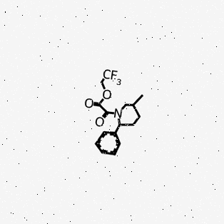 CC1CCC(c2ccccc2)N(C(=O)C(=O)OCC(F)(F)F)C1